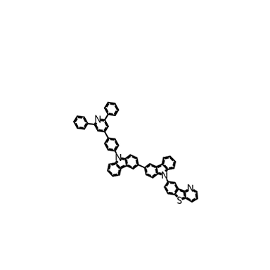 c1ccc(-c2cc(-c3ccc(-n4c5ccccc5c5cc(-c6ccc7c(c6)c6ccccc6n7-c6ccc7sc8cccnc8c7c6)ccc54)cc3)cc(-c3ccccc3)n2)cc1